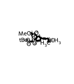 COCOC(=O)c1cc(C#CCN(C)C)ccc1NC(=O)C(=O)OC(C)(C)C